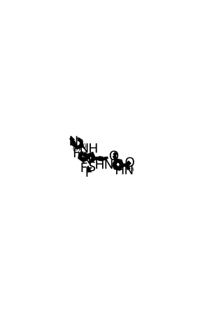 CNC(=O)c1ccc(NCC#Cc2cc3c(N[C@@H]4CCN(C)C[C@@H]4F)cccn3c2SC(F)F)c(OC)c1